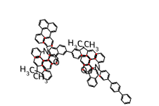 CC1(C)c2ccccc2-c2c(-c3ccccc3N(c3ccc(-c4cccc5cccc(-c6ccccc6)c45)cc3)c3ccccc3-c3cccc4oc5c6cc(-c7ccc8c(c7)C(C)(C)c7cccc(-c9ccccc9N(c9ccc(-c%10ccc(-c%11ccccc%11)cc%10)cc9)c9ccccc9-c9cccc%10oc%11c%12ccccc%12ccc%11c9%10)c7-8)ccc6ccc5c34)cccc21